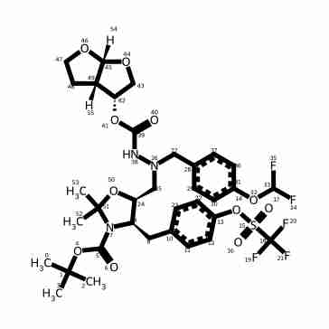 CC(C)(C)OC(=O)N1[C@H](Cc2ccc(OS(=O)(=O)C(F)(F)F)cc2)[C@H](CN(Cc2ccc(OC(F)F)cc2)NC(=O)O[C@H]2CO[C@H]3OCC[C@H]32)OC1(C)C